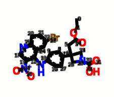 CCOC(=O)CC1(c2ccc(Nc3c([N+](=O)[O-])cnc4ccc(Br)cc34)cc2)CN(C(=O)O)C1